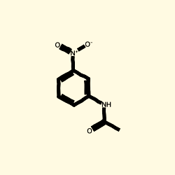 CC(=O)Nc1[c]ccc([N+](=O)[O-])c1